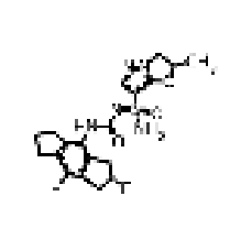 C[C@@H]1Cn2ncc([S@@](N)(=O)=NC(=O)Nc3c4c(c(F)c5c3C[C@@H](F)C5)CCC4)c2O1